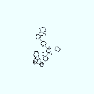 c1ccc(-c2nc(-c3ccc(-c4cccc5c4oc4ccccc45)cc3)cc(-c3cccc4c3Oc3ccccc3C43c4ccccc4-c4ccccc43)n2)cc1